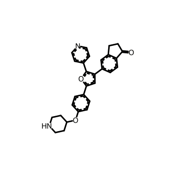 O=C1CCc2cc(-c3cc(-c4ccc(OC5CCNCC5)cc4)oc3-c3ccncc3)ccc21